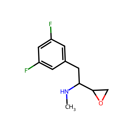 CNC(Cc1cc(F)cc(F)c1)C1CO1